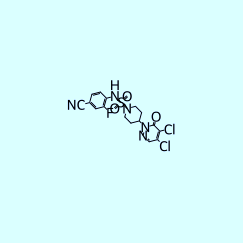 N#Cc1ccc(NS(=O)(=O)N2CCC(n3ncc(Cl)c(Cl)c3=O)CC2)c(F)c1